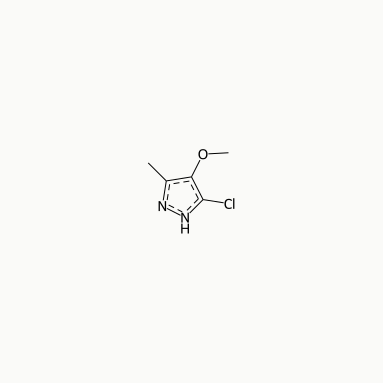 COc1c(C)n[nH]c1Cl